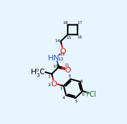 CC(Oc1ccc(Cl)cc1)C(=O)NOCC1CCC1